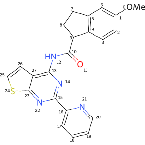 COc1ccc2c(c1)CCC2C(=O)Nc1nc(-c2ccccn2)nc2sccc12